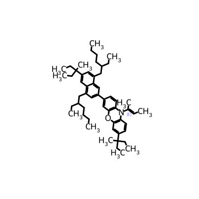 C/C=C(\C)N1c2ccc(-c3cc(CC(CC)CCCC)c4cc(C(C)(CC)CC)cc(CC(CC)CCCC)c4c3)cc2Oc2cc(C(C)(CC)CC)ccc21